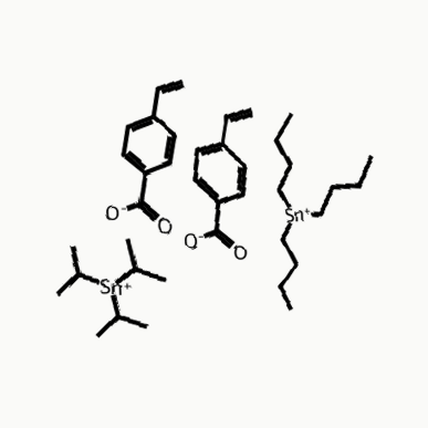 C=Cc1ccc(C(=O)[O-])cc1.C=Cc1ccc(C(=O)[O-])cc1.CCC[CH2][Sn+]([CH2]CCC)[CH2]CCC.C[CH](C)[Sn+]([CH](C)C)[CH](C)C